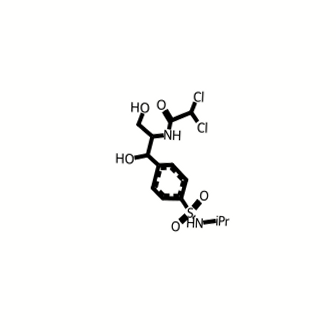 CC(C)NS(=O)(=O)c1ccc(C(O)C(CO)NC(=O)C(Cl)Cl)cc1